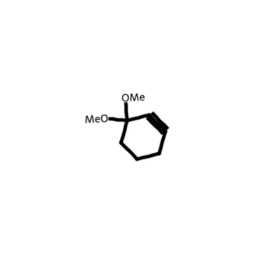 COC1(OC)C#CCCC1